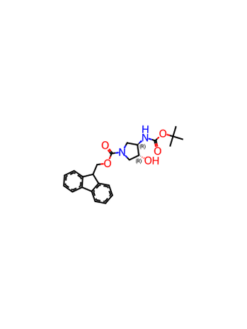 CC(C)(C)OC(=O)N[C@@H]1CN(C(=O)OCC2c3ccccc3-c3ccccc32)C[C@H]1O